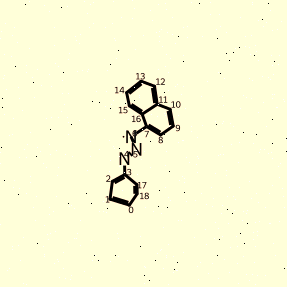 c1ccc(N=N[N]c2cccc3ccccc23)cc1